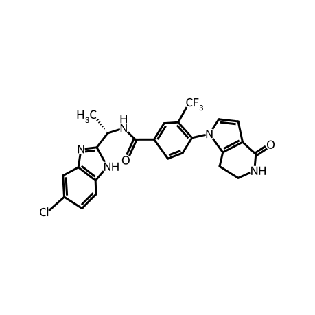 C[C@H](NC(=O)c1ccc(-n2ccc3c2CCNC3=O)c(C(F)(F)F)c1)c1nc2cc(Cl)ccc2[nH]1